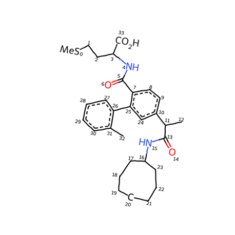 CSCCC(NC(=O)c1ccc(C(C)C(=O)NC2CCCCCCC2)cc1-c1ccccc1C)C(=O)O